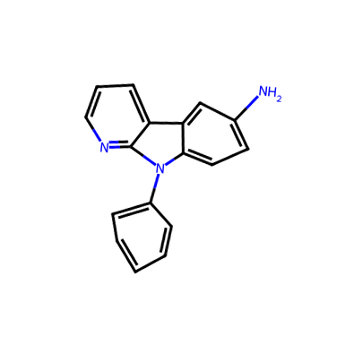 Nc1ccc2c(c1)c1cccnc1n2-c1ccccc1